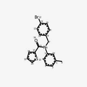 Cc1cccc(N(Cc2ccc(Br)cc2)C(=O)c2cccs2)c1